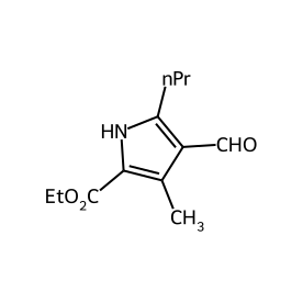 CCCc1[nH]c(C(=O)OCC)c(C)c1C=O